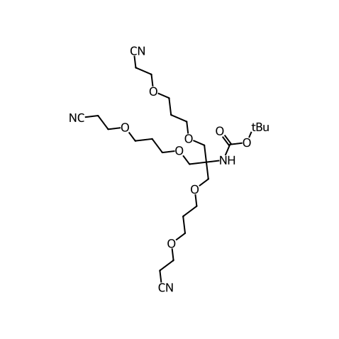 CC(C)(C)OC(=O)NC(COCCCOCCC#N)(COCCCOCCC#N)COCCCOCCC#N